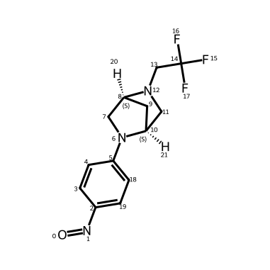 O=Nc1ccc(N2C[C@@H]3C[C@H]2CN3CC(F)(F)F)cc1